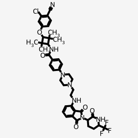 CC1(C)C(NC(=O)c2ccc(N3CCN(CCNc4cccc5c4C(=O)N(C4CCC(C(F)(F)F)NC4=O)C5=O)CC3)cc2)C(C)(C)C1Oc1ccc(C#N)c(Cl)c1